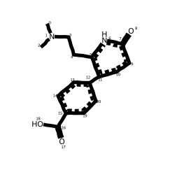 CN(C)CCc1[nH]c(=O)ccc1-c1ccc(C(=O)O)cc1